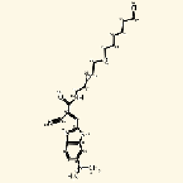 CN(C)c1ccc2nc(/C=C(\C#N)C(=O)NCCOCCOCCCCCCCl)sc2c1